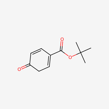 CC(C)(C)OC(=O)C1=CCC(=O)C=C1